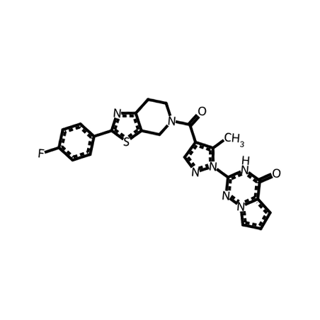 Cc1c(C(=O)N2CCc3nc(-c4ccc(F)cc4)sc3C2)cnn1-c1nn2cccc2c(=O)[nH]1